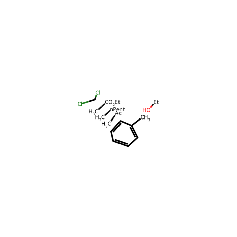 CC(C)=O.CCCCCC.CCO.CCOC(C)=O.Cc1ccccc1.ClCCl